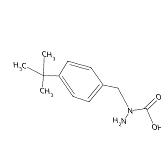 CC(C)(C)c1ccc(CN(N)C(=O)O)cc1